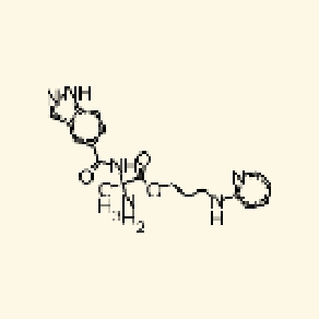 CC(N)(NC(=O)c1ccc2[nH]ncc2c1)C(=O)OCCCNc1ccccn1